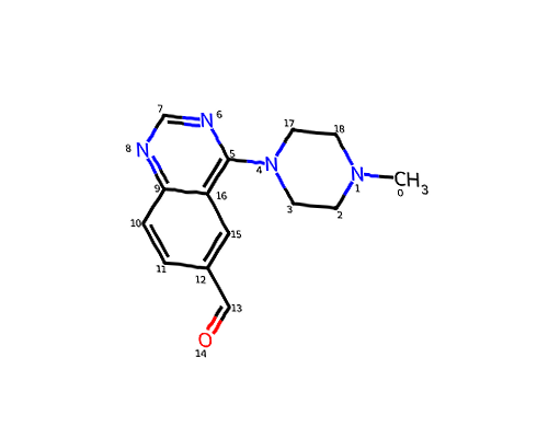 CN1CCN(c2ncnc3ccc(C=O)cc23)CC1